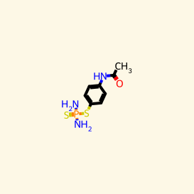 CC(=O)Nc1ccc(SP(N)(N)=S)cc1